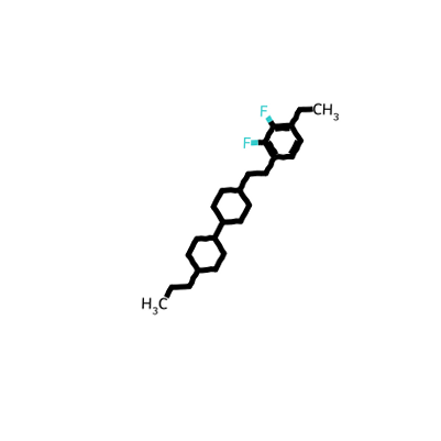 CCCC1CCC(C2CCC(CCc3ccc(CC)c(F)c3F)CC2)CC1